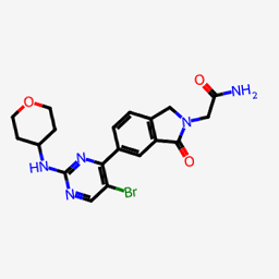 NC(=O)CN1Cc2ccc(-c3nc(NC4CCOCC4)ncc3Br)cc2C1=O